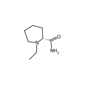 CCN1CCC[CH][C@@H]1C(N)=O